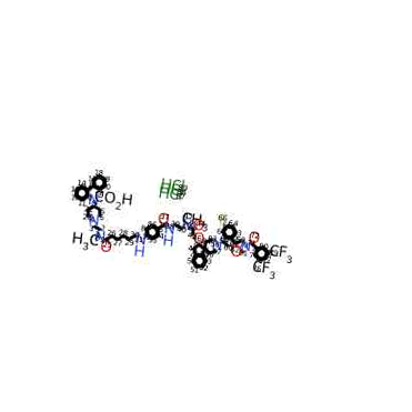 CN(CCN1CCC(N(C(=O)O)c2ccccc2-c2ccccc2)CC1)C(=O)CCCCCNc1ccc(C(=O)NCCN(C)C(=O)CO[C@H]2Cc3ccccc3C23CCN(CC[C@]2(c4ccc(F)cc4)CN(C(=O)c4cc(C(F)(F)F)cc(C(F)(F)F)c4)CO2)CC3)cc1.Cl.Cl.Cl